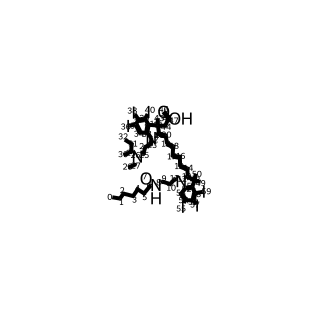 CCCCCCC(=O)NCCC[N+]1=C(/C=C/C=C/C=C/C=C2\N(CCCN(CC)C(C)CC)c3cc(I)c(I)c(I)c3C2(C)CC(=O)O)C(C)(C)c2c1cc(I)c(I)c2I